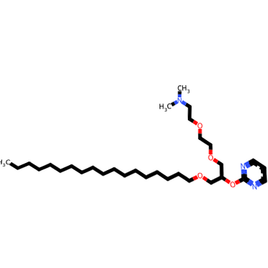 CCCCCCCCCCCCCCCCCCOCC(COCCOCCN(C)C)Oc1ncccn1